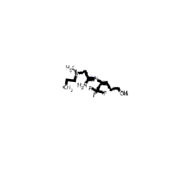 CCCN(C)C/C(N)=N/C(=CCCO)C(F)(F)F